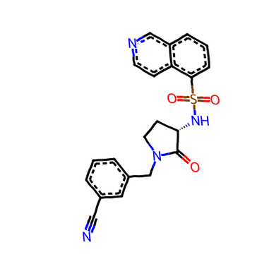 N#Cc1cccc(CN2CC[C@H](NS(=O)(=O)c3cccc4cnccc34)C2=O)c1